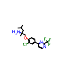 CC(C)CC(C)(N)COc1ccc(-c2ccnc(C(F)(F)F)n2)cc1Cl